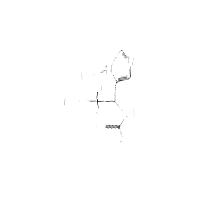 CC(=O)NC(c1cncn1C)C(C)(C)C